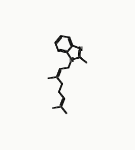 CC(C)=CCCC(C)=CCn1c(C)nc2ccccc21